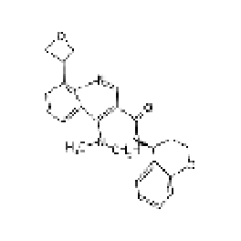 CN(C)c1c(C(=O)N[C@H]2CCOc3ccccc32)cnc2c(C3COC3)cccc12